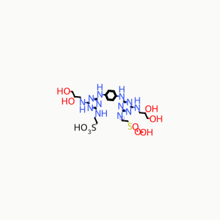 O=S(=O)(O)CCNc1nc(NCC(O)CO)nc(Nc2ccc(Nc3nc(/N=C\CSOOO)nc(NCC(O)CO)n3)cc2)n1